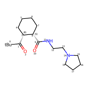 CC(C)(C)C(=O)[C@@H]1CCCC[C@@H]1C(=O)NCCN1CCCC1